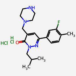 Cc1ccc(-c2cc(CN3CCNCC3)c(=O)n(CC(C)C)n2)cc1F.Cl.Cl